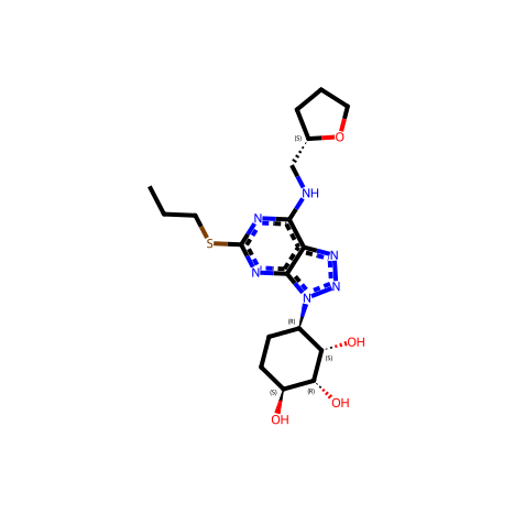 CCCSc1nc(NC[C@@H]2CCCO2)c2nnn([C@@H]3CC[C@H](O)[C@@H](O)[C@H]3O)c2n1